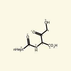 CCCCCCCC(=O)NC(C(=O)O)C(=O)CO